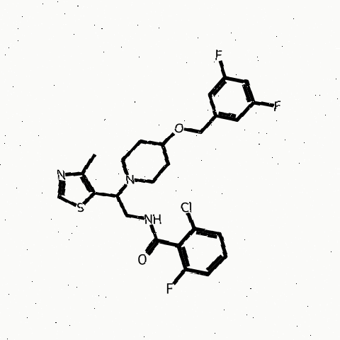 Cc1ncsc1C(CNC(=O)c1c(F)cccc1Cl)N1CCC(OCc2cc(F)cc(F)c2)CC1